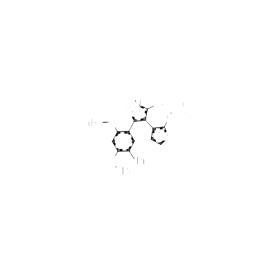 CCCCOc1cc(OCCCC)c(C(C)C)cc1-c1onc(C(=O)OCC)c1-c1ccsc1C=O